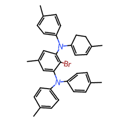 CC1=CC=C(N(c2ccc(C)cc2)c2cc(C)cc(N(c3ccc(C)cc3)c3ccc(C)cc3)c2Br)CC1